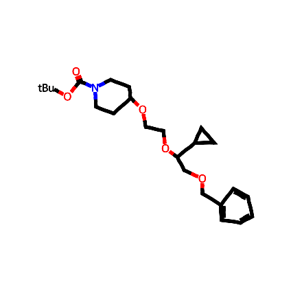 CC(C)(C)OC(=O)N1CCC(OCCOC(COCc2ccccc2)C2CC2)CC1